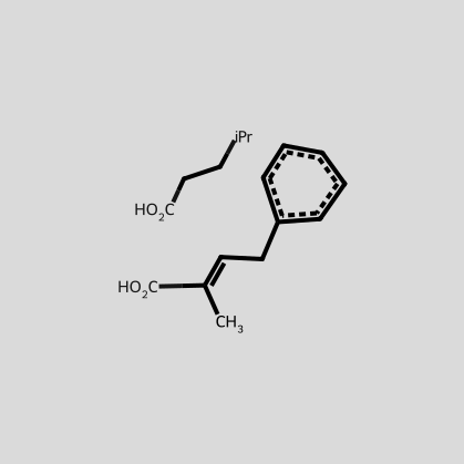 CC(=CCc1ccccc1)C(=O)O.CC(C)CCC(=O)O